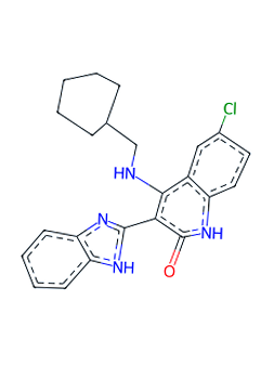 O=c1[nH]c2ccc(Cl)cc2c(NCC2CCCCC2)c1-c1nc2ccccc2[nH]1